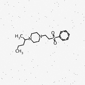 CCCC(C)N1CCN(CCS(=O)(=O)c2ccccc2)CC1